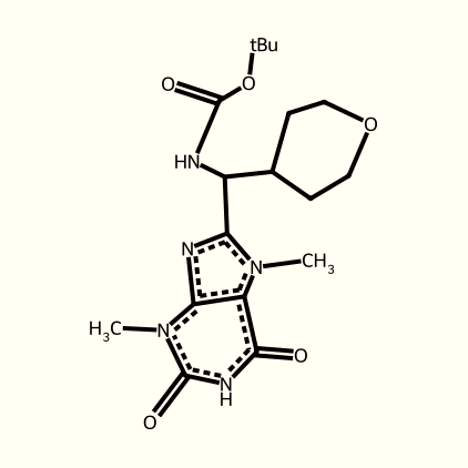 Cn1c(C(NC(=O)OC(C)(C)C)C2CCOCC2)nc2c1c(=O)[nH]c(=O)n2C